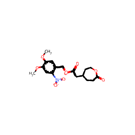 COc1cc(COC(=O)CC2CCOC(=O)CC2)c([N+](=O)[O-])cc1OC